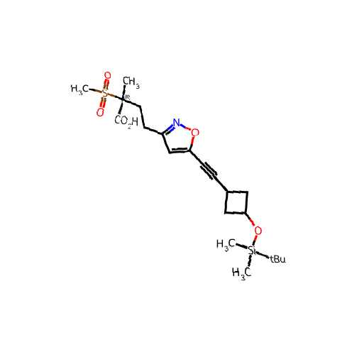 CC(C)(C)[Si](C)(C)OC1CC(C#Cc2cc(CC[C@](C)(C(=O)O)S(C)(=O)=O)no2)C1